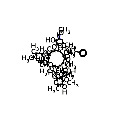 CO/N=C1\C[C@@H](C)O[C@@H](O[C@@H]2[C@@H](C)[C@H](O[C@H]3C[C@H](C)N(C)C[C@H](C)O3)[C@@H](C)C(=O)O[C@@H](C(C)CO[C@@H]3O[C@H](C)[C@@H](O)[C@@H](OC)[C@H]3OC)[C@@H](C)[C@@H](C(C(=O)O)C(C)C)[C@@H](C)C(=O)[C@@](C)(OC(=O)NCc3ccccc3)C[C@@H]2C)[C@@H]1O